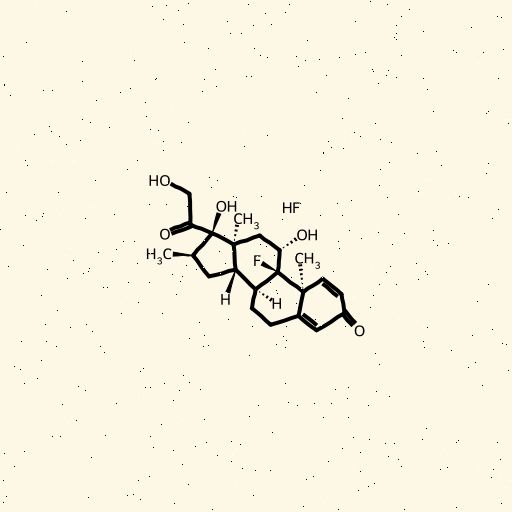 C[C@@H]1C[C@H]2[C@@H]3CCC4=CC(=O)C=C[C@]4(C)[C@@]3(F)[C@@H](O)C[C@]2(C)[C@@]1(O)C(=O)CO.F